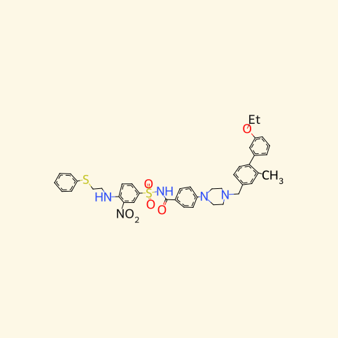 CCOc1cccc(-c2ccc(CN3CCN(c4ccc(C(=O)NS(=O)(=O)c5ccc(NCCSc6ccccc6)c([N+](=O)[O-])c5)cc4)CC3)cc2C)c1